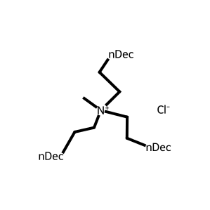 CCCCCCCCCCCC[N+](C)(CCCCCCCCCCCC)CCCCCCCCCCCC.[Cl-]